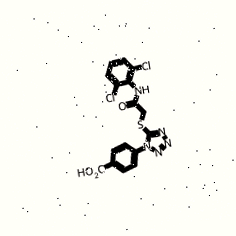 O=C(CSc1nnnn1-c1ccc(C(=O)O)cc1)Nc1c(Cl)cccc1Cl